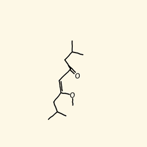 CO/C(=C\C(=O)CC(C)C)CC(C)C